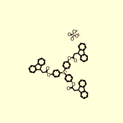 O=C(CC1c2ccccc2-c2ccccc21)Oc1ccc([S+](c2ccc(OC(=O)CC3c4ccccc4-c4ccccc43)cc2)c2ccc(OC(=O)CC3c4ccccc4-c4ccccc43)cc2)cc1.O=S(=O)([O-])C(F)(F)F